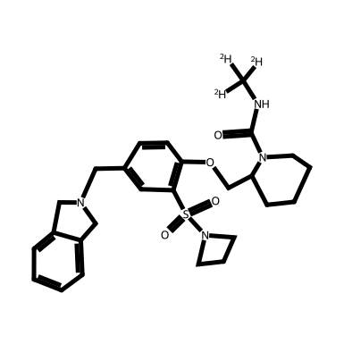 [2H]C([2H])([2H])NC(=O)N1CCCCC1COc1ccc(CN2Cc3ccccc3C2)cc1S(=O)(=O)N1CCC1